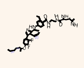 C=C(/C=C\C=C/C)Oc1ccc(C2=CN=C(C(=C)Nc3ccc(C(=O)NCCNC(=O)C(N)CCC(C)=N)c(CC)c3)C2/C=C\C)c(F)c1F